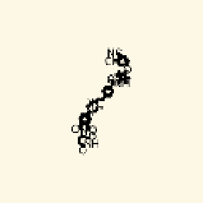 C[C@H]1CN(c2ccc3c(c2)C(=O)N(C2CCC(=O)NC2=O)C3=O)C[C@H](C)N1CCc1ccc(C(=O)NC2C(C)(C)C(Oc3ccc(C#N)c(Cl)c3)C2(C)C)cc1